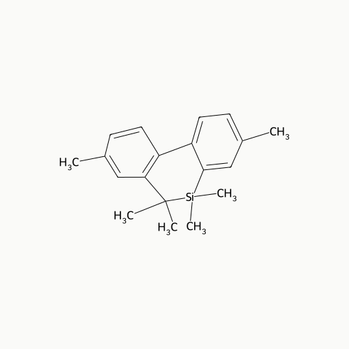 Cc1ccc2c(c1)C(C)(C)[Si](C)(C)c1cc(C)ccc1-2